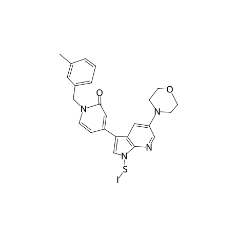 Cc1cccc(Cn2ccc(-c3cn(SI)c4ncc(N5CCOCC5)cc34)cc2=O)c1